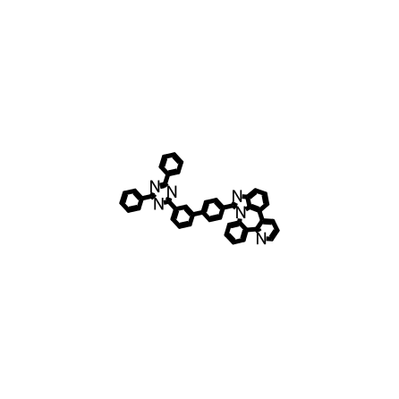 c1ccc(-c2nc(-c3ccccc3)nc(-c3cccc(-c4ccc(-c5nc6cccc7c6n5-c5ccccc5-c5ncccc5-7)cc4)c3)n2)cc1